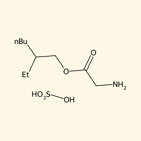 CCCCC(CC)COC(=O)CN.O=S(=O)(O)O